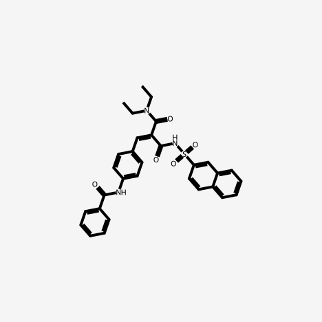 CCN(CC)C(=O)C(=Cc1ccc(NC(=O)c2ccccc2)cc1)C(=O)NS(=O)(=O)c1ccc2ccccc2c1